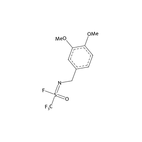 COc1ccc(CN=S(=O)(F)C(F)(F)F)cc1OC